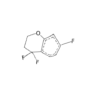 Fc1ccc2c(c1)OCCC2(F)F